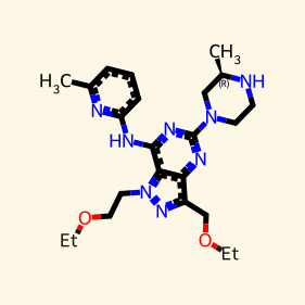 CCOCCn1nc(COCC)c2nc(N3CCN[C@H](C)C3)nc(Nc3cccc(C)n3)c21